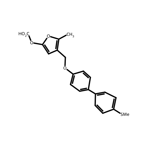 CSc1ccc(-c2ccc(OCc3cc(OC(=O)O)oc3C)cc2)cc1